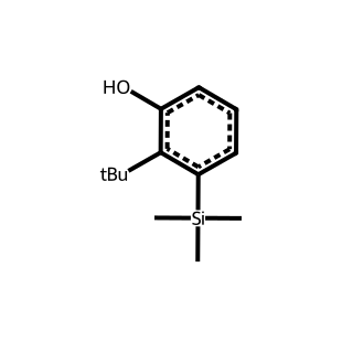 CC(C)(C)c1c(O)cccc1[Si](C)(C)C